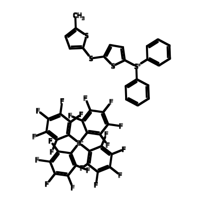 Cc1ccc(Sc2ccc([S+](c3ccccc3)c3ccccc3)s2)s1.Fc1c(F)c(F)c([B-](c2c(F)c(F)c(F)c(F)c2F)(c2c(F)c(F)c(F)c(F)c2F)c2c(F)c(F)c(F)c(F)c2F)c(F)c1F